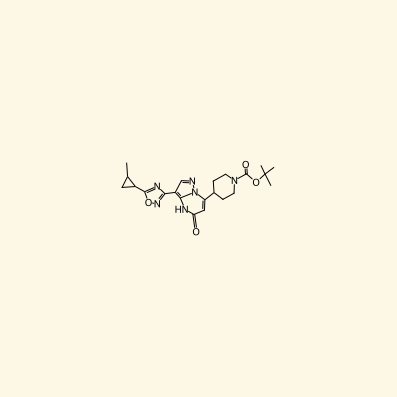 CC1CC1c1nc(-c2cnn3c(C4CCN(C(=O)OC(C)(C)C)CC4)cc(=O)[nH]c23)no1